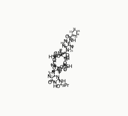 CC(C)C(=O)Nc1nc2c(ncn2[C@@H]2O[C@@H]3CO[P@@](=O)(S)O[C@H]4[C@@H](F)[C@H](n5cnc6c(NC(=O)c7ccccc7)ncnc65)O[C@@H]4CO[P@@](=O)(S)O[C@H]3[C@H]2F)c(=O)[nH]1